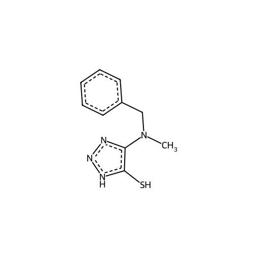 CN(Cc1ccccc1)c1nn[nH]c1S